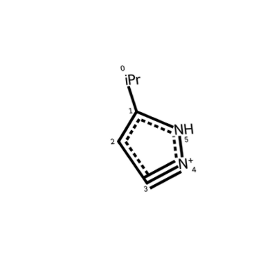 CC(C)c1cc#[n+][nH]1